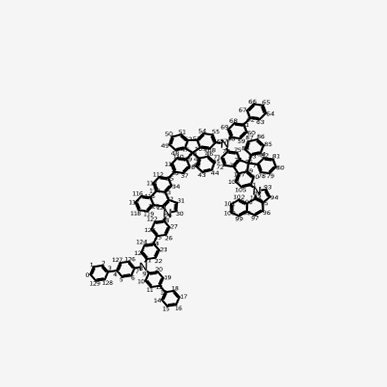 c1ccc(-c2ccc(N(c3ccc(-c4ccccc4)cc3)c3ccc(-c4ccc(-n5ccc6c7cc(-c8ccc(C9(c%10ccccc%10)c%10ccccc%10-c%10ccc(N(c%11ccc(-c%12ccccc%12)cc%11)c%11ccc%12c(c%11)C(c%11ccccc%11)(c%11ccccc%11)c%11cc(-n%13ccc%14ccc%15ccccc%15c%14%13)ccc%11-%12)cc%109)cc8)ccc7c7ccccc7c65)cc4)cc3)cc2)cc1